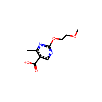 COCCOc1ncc(C(=O)O)c(C)n1